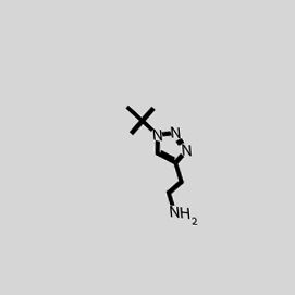 CC(C)(C)n1cc(CCN)nn1